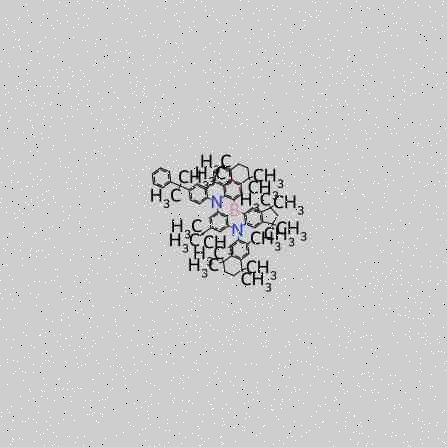 Cc1cc2c(cc1N1c3cc4c(cc3B3c5cc6c(cc5N(c5ccc(C(C)(C)c7ccccc7)cc5-c5ccccc5)c5cc(C(C)(C)C)cc1c53)C(C)(C)CCC6(C)C)C(C)(C)CC4(C)C)C(C)(C)CCC2(C)C